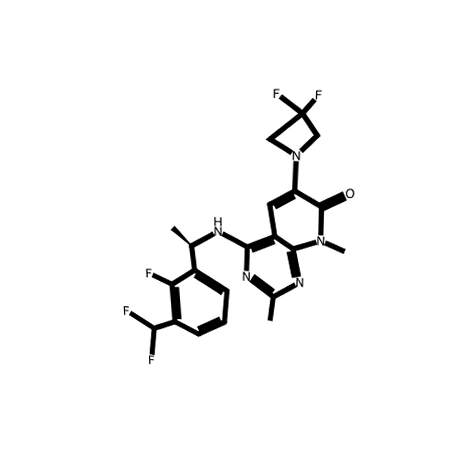 Cc1nc(N[C@H](C)c2cccc(C(F)F)c2F)c2cc(N3CC(F)(F)C3)c(=O)n(C)c2n1